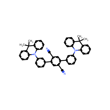 CC1(C)c2ccccc2N(c2cccc(-c3cc(C#N)c(-c4cccc(N5c6ccccc6C(C)(C)c6ccccc65)c4)cc3C#N)c2)c2ccccc21